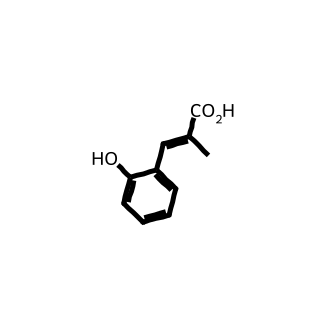 C/C(=C\c1ccccc1O)C(=O)O